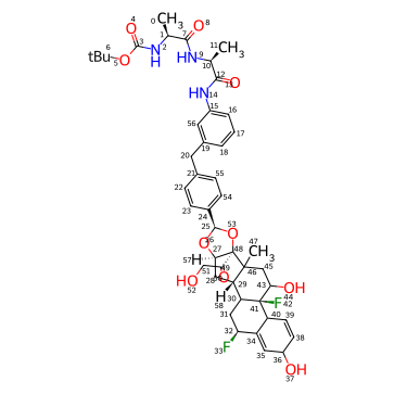 C[C@H](NC(=O)OC(C)(C)C)C(=O)N[C@@H](C)C(=O)Nc1cccc(Cc2ccc([C@@H]3O[C@@H]4C[C@H]5C6C[C@H](F)C7=CC(O)C=CC7[C@@]6(F)C(O)CC5(C)[C@]4(C(=O)CO)O3)cc2)c1